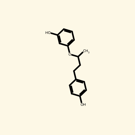 CC(CCc1ccc(O)cc1)Oc1cccc(O)c1